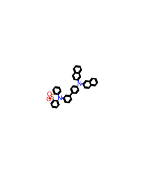 O=S1(=O)c2ccccc2N(c2cccc(-c3ccc(N(c4ccc5ccccc5c4)c4ccc5ccccc5c4)cc3)c2)c2ccccc21